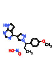 CCC(c1ccc(OC)cc1)n1cc(-c2ncnc3[nH]ccc23)cn1.O=NO